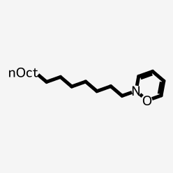 CCCCCCCCCCCCCCCN1C=CC=CO1